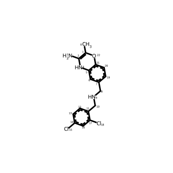 CC1=C(N)Nc2cc(CNCc3ccc(Cl)cc3Cl)ccc2O1